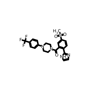 CS(=O)(=O)c1ccc(-c2ncc[nH]2)c(C(=O)N2CCN(c3ccc(C(F)(F)F)cc3)CC2)c1